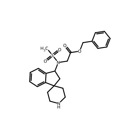 CS(=O)(=O)N(CC(=O)OCc1ccccc1)C1CC2(CCNCC2)c2ccccc21